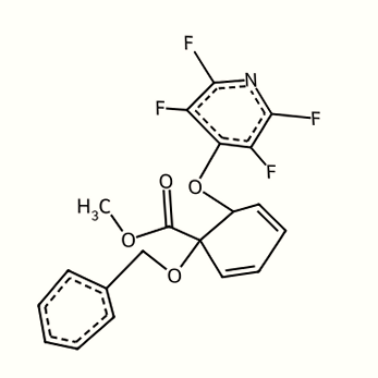 COC(=O)C1(OCc2ccccc2)C=CC=CC1Oc1c(F)c(F)nc(F)c1F